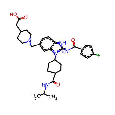 CC(C)NC(=O)C1CCC(n2/c(=N/C(=O)c3ccc(F)cc3)[nH]c3ccc(CN4CCC(CC(=O)O)CC4)cc32)CC1